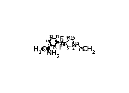 C=CCN1CCC(C(F)(F)c2cccc([C@@H](C)N)c2)CC1